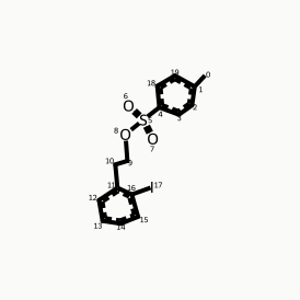 Cc1ccc(S(=O)(=O)OCCc2ccccc2I)cc1